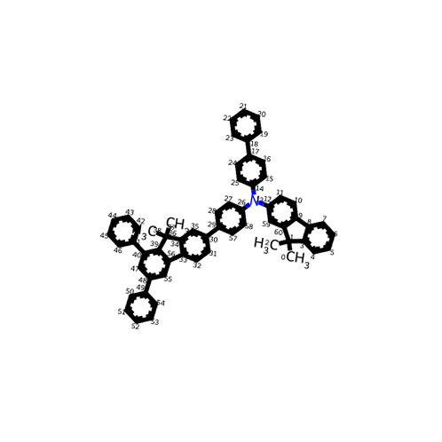 CC1(C)c2ccccc2-c2ccc(N(c3ccc(-c4ccccc4)cc3)c3ccc(-c4ccc5c(c4)C(C)(C)c4c(-c6ccccc6)cc(-c6ccccc6)cc4-5)cc3)cc21